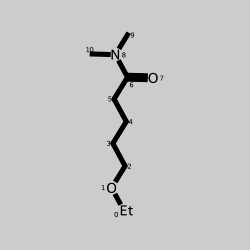 CCOCCCCC(=O)N(C)C